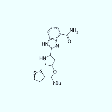 CCCCC(OC1CNC(c2nc3c(C(N)=O)cccc3[nH]2)C1)C1CCSS1